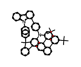 CC(C)(C)c1cc(-c2cccc3cccc(-c4ccccc4N(c4ccc(-c5cccc6c7ccccc7n(-c7ccccc7)c56)cc4)c4ccc5c(c4)C(C)(c4ccccc4)c4ccccc4-5)c23)cc(C(C)(C)C)c1